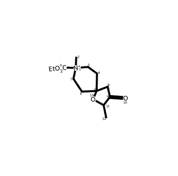 CCOC(=O)[N+]1(C)CCC2(CC1)CC(=O)C(C)O2